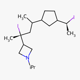 CC(C[C@@](C)(I)C1CN(C(C)C)C1)C1CCC([C@H](C)I)C1